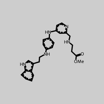 COC(=O)CCNCc1cc(Nc2ccc(NCCc3c[nH]c4ccccc34)cc2)ccn1